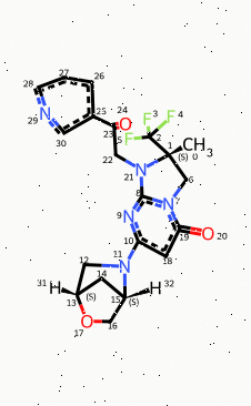 C[C@@]1(C(F)(F)F)Cn2c(nc(N3C[C@@H]4C[C@H]3CO4)cc2=O)N1CC(=O)c1cccnc1